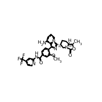 COc1cc(C(=O)Nc2cc(C(F)(F)F)ccn2)ccc1-c1nc([C@@H]2CC[C@H]3[C@@H](C)OC(=O)N3C2)n2cccc(N)c12